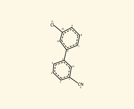 N#Cc1cccc(-c2cccc(Cl)c2)c1